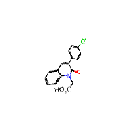 O=C(O)Cn1c(=O)c(-c2ccc(Cl)cc2)cc2ccccc21